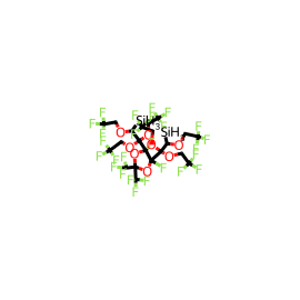 FC(F)(F)COC([SiH3])C(OCC(F)(F)F)(OCC(F)(F)F)C1(F)OC(C(F)(F)F)(C(F)(F)F)OC1(F)C(OCC(F)(F)F)(OCC(F)(F)F)C([SiH3])OCC(F)(F)F